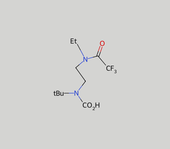 CCN(CCN(C(=O)O)C(C)(C)C)C(=O)C(F)(F)F